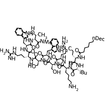 CCCCCCCCCCCCCCCC(=O)N[C@@H](CCC(=O)O)C(=O)N[C@@H](C(=O)N[C@@H](CCCCN)C(=O)N[C@H](CCCCN)C(=O)N[C@@H](CO)C(=O)N[C@H](Cc1c[nH]c2ccccc12)C(=O)N[C@@H](CO)C(=O)N[C@H](CCCNC(=N)N)C(=O)N[C@@H](Cc1c[nH]c2ccccc12)C(=O)N[C@@H](C(=O)NC)[C@@H](C)O)[C@@H](C)CC